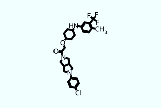 Cc1ccc(NC2CCC(OCC(=O)N3CC4CN(c5ccc(Cl)cc5)CC4C3)CC2)cc1C(F)(F)F